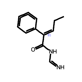 CC/C=C(/C(=O)NC=N)C1=CC=C=C=C1